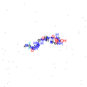 Cc1ncsc1-c1ccc([C@H](C)NC(=O)[C@@H]2C[C@@H](O)CN2C(=O)[C@@H](NC(=O)CCC(=O)NCCCN2C[C@@H]3CN(CC(=O)NCc4cccc(CNc5cc(N6CCC7(CC6)CN(c6cc(F)c(CN8CCC(C)(C)CC8)cc6F)CC(=O)N7)ncn5)c4)C[C@@H]3C2)C(C)(C)C)cc1